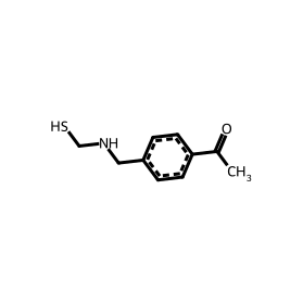 CC(=O)c1ccc(CNCS)cc1